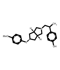 COc1ccc(S[C@H]2C[C@@H]3CN(CC(C)c4ccc(O)cc4)C[C@@H]3C2)cc1